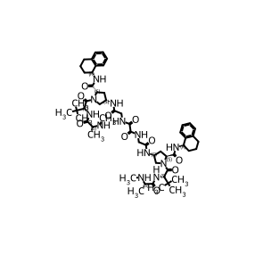 CN[C@@H](C)C(=O)N[C@H](C(=O)N1C[C@@H](NC(=O)CNC(=O)C(=O)NCC(=O)N[C@H]2C[C@@H](C(=O)N[C@@H]3CCCc4ccccc43)N(C(=O)[C@@H](NC(=O)[C@H](C)NC)C(C)(C)C)C2)C[C@H]1C(=O)N[C@@H]1CCCc2ccccc21)C(C)(C)C